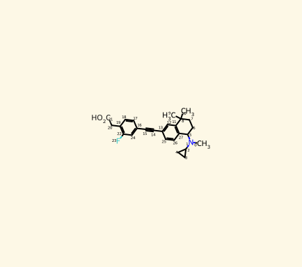 CN(C1CC1)C1CCC(C)(C)c2cc(C#Cc3ccc(CC(=O)O)c(F)c3)ccc21